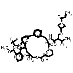 C=CC(=O)N1CC(OCC(C(=O)N[C@H]2Cc3cccc(c3)-c3ccc4c(c3)c(c(-c3cccnc3[C@H](C)OC)n4CC(F)(F)F)CC(C)(C)COC(=O)[C@@H]3CCCN(N3)C2=O)C(C)C)C1